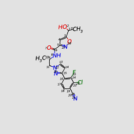 CC(O)c1cc(C(=O)N[C@@H](C)Cn2ccc(-c3ccc(C#N)c(Cl)c3F)n2)no1